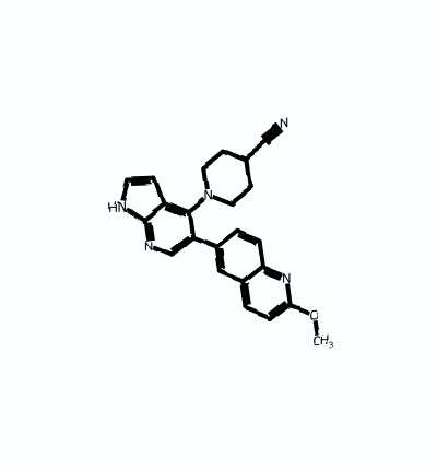 COc1ccc2cc(-c3cnc4[nH]ccc4c3N3CCC(C#N)CC3)ccc2n1